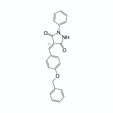 O=C1NN(c2ccccc2)C(=O)/C1=C/c1ccc(OCc2ccccc2)cc1